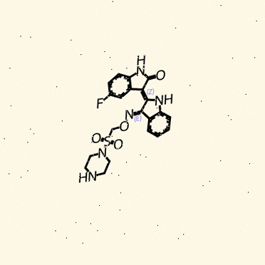 O=C1Nc2ccc(F)cc2/C1=C1/Nc2ccccc2/C1=N\OCS(=O)(=O)N1CCNCC1